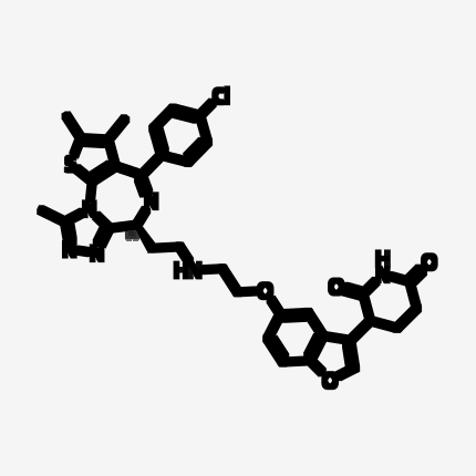 Cc1sc2c(c1C)C(c1ccc(Cl)cc1)=N[C@@H](CCNCCOc1ccc3occ(C4CCC(=O)NC4=O)c3c1)c1nnc(C)n1-2